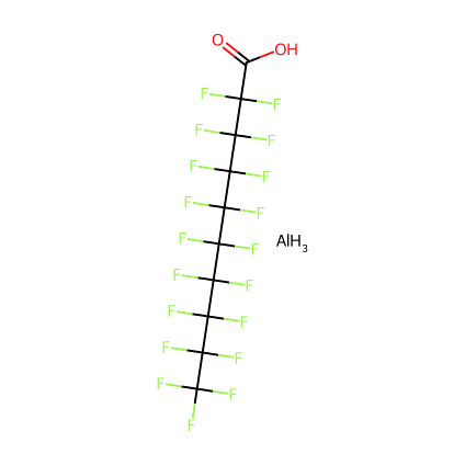 O=C(O)C(F)(F)C(F)(F)C(F)(F)C(F)(F)C(F)(F)C(F)(F)C(F)(F)C(F)(F)C(F)(F)F.[AlH3]